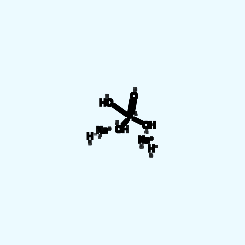 O=P(O)(O)O.[H-].[H-].[Na+].[Na+]